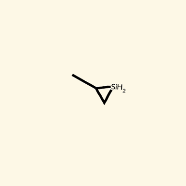 CC1C[SiH2]1